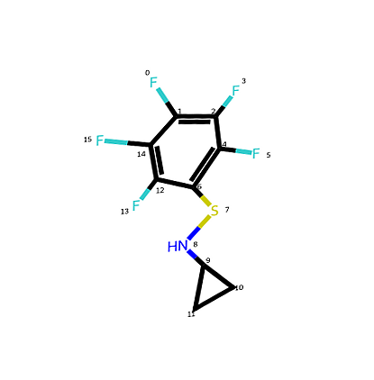 Fc1c(F)c(F)c(SNC2CC2)c(F)c1F